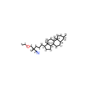 CCOCC(C)(C#N)CCCC1CCC2C3CCC4CC(C)CCC4(C)C3CCC12C